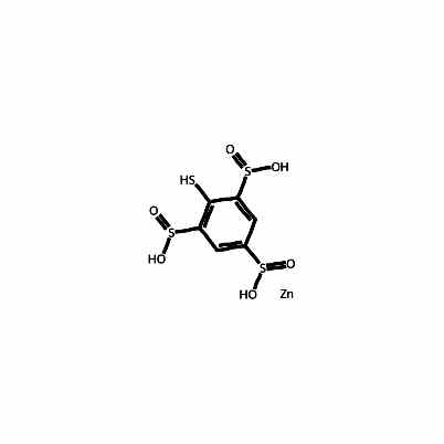 O=S(O)c1cc(S(=O)O)c(S)c(S(=O)O)c1.[Zn]